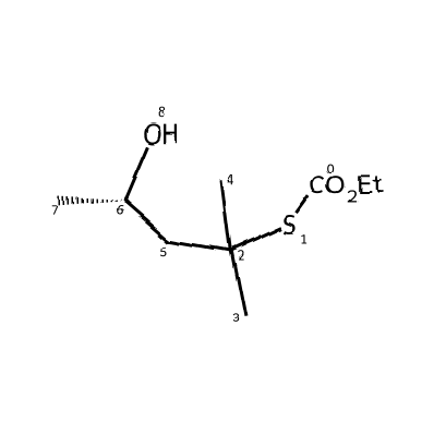 CCOC(=O)SC(C)(C)C[C@H](C)O